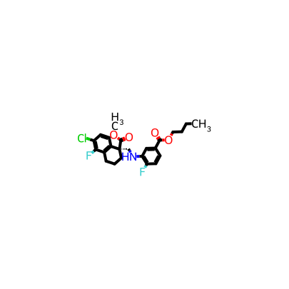 CCCCOC(=O)c1ccc(F)c(NC[C@]2(C(=O)OC)CCCc3c2ccc(Cl)c3F)c1